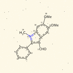 COc1cc2c(C=O)c(-c3ccccc3)n(C)c2cc1OC